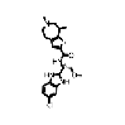 COC[C@H](NC(=O)c1cc2c(s1)C(C)CN(C)CC2)C1Nc2ccc(Cl)cc2N1